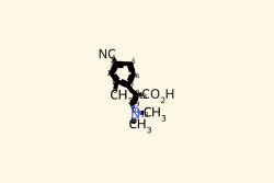 Cc1cc(C#N)ccc1C(=CN(C)C)C(=O)O